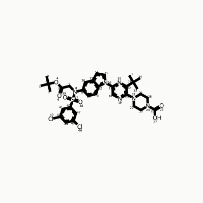 CC(C)(C)OC(=O)CN(c1ccc2c(ccn2-c2cnc(N3CCN(C(=O)O)CC3)c(C(C)(C)C)n2)c1)S(=O)(=O)c1cc(Cl)cc(Cl)c1